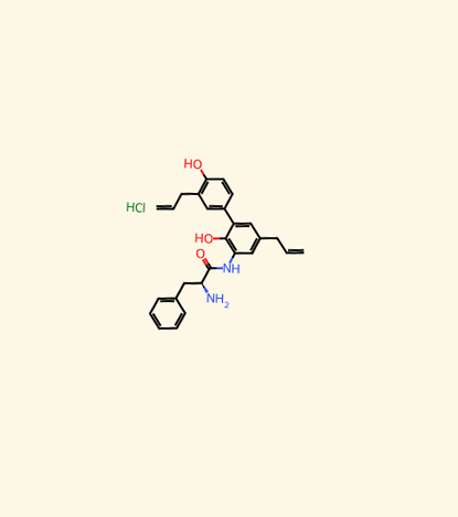 C=CCc1cc(NC(=O)[C@@H](N)Cc2ccccc2)c(O)c(-c2ccc(O)c(CC=C)c2)c1.Cl